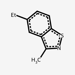 CCc1ccc2snc(C)c2c1